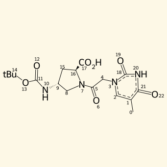 Cc1cn(CC(=O)N2C[C@H](NC(=O)OC(C)(C)C)C[C@H]2C(=O)O)c(=O)[nH]c1=O